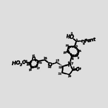 CCCCCC(O)c1ccc(N2C(=O)CC[C@@H]2COCc2ccc(C(=O)O)o2)cc1